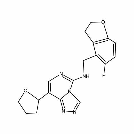 Fc1ccc2c(c1CNc1ncc(C3CCCO3)c3nncn13)CCO2